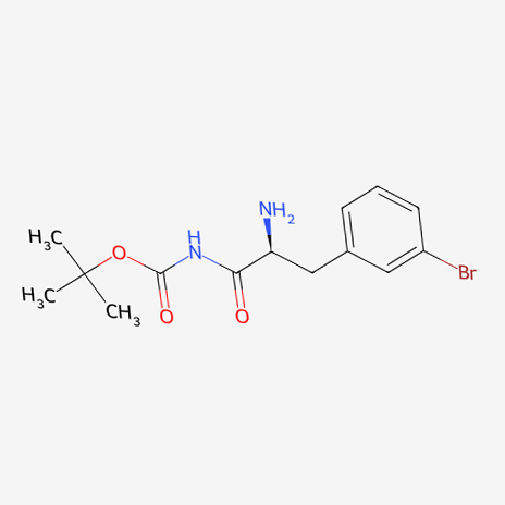 CC(C)(C)OC(=O)NC(=O)[C@@H](N)Cc1cccc(Br)c1